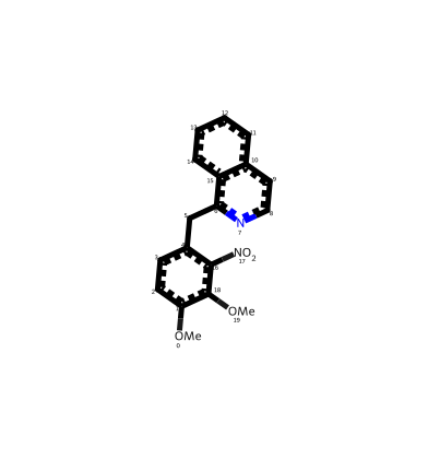 COc1ccc(Cc2nccc3ccccc23)c([N+](=O)[O-])c1OC